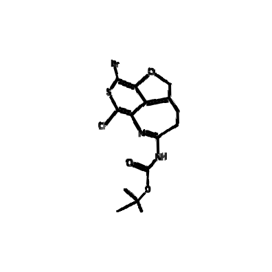 CC(C)(C)OC(=O)NC1=NC2=C(Cl)SC(Br)=C3OCC(=C23)CC1